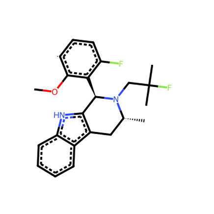 COc1[c]ccc(F)c1[C@@H]1c2[nH]c3ccccc3c2C[C@@H](C)N1CC(C)(C)F